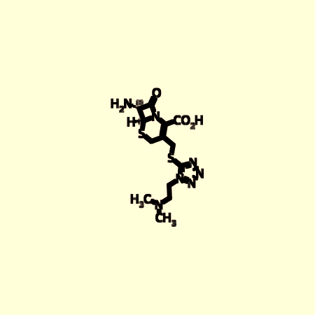 CN(C)CCn1nnnc1SCC1=C(C(=O)O)N2C(=O)[C@@H](N)[C@@H]2SC1